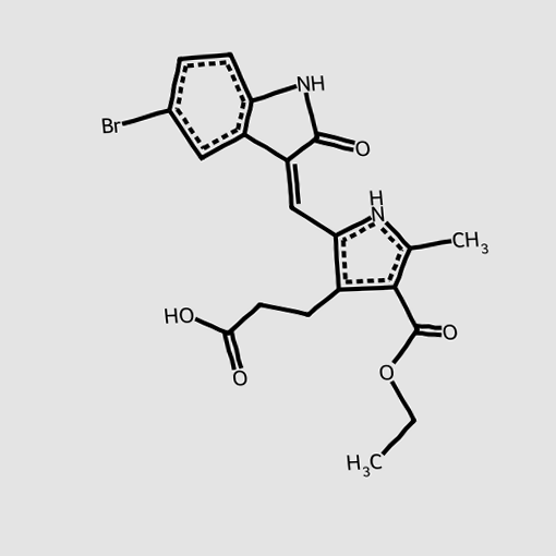 CCOC(=O)c1c(C)[nH]c(C=C2C(=O)Nc3ccc(Br)cc32)c1CCC(=O)O